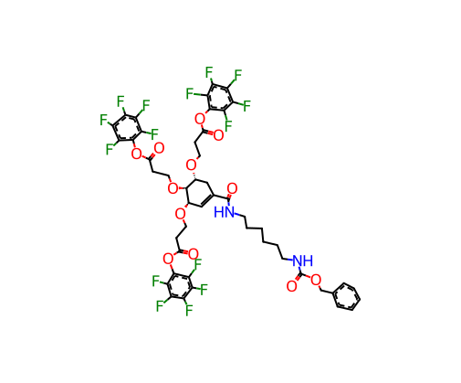 O=C(CCO[C@@H]1[C@H](OCCC(=O)Oc2c(F)c(F)c(F)c(F)c2F)C=C(C(=O)NCCCCCCNC(=O)OCc2ccccc2)C[C@H]1OCCC(=O)Oc1c(F)c(F)c(F)c(F)c1F)Oc1c(F)c(F)c(F)c(F)c1F